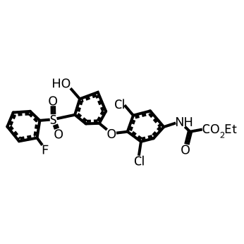 CCOC(=O)C(=O)Nc1cc(Cl)c(Oc2ccc(O)c(S(=O)(=O)c3ccccc3F)c2)c(Cl)c1